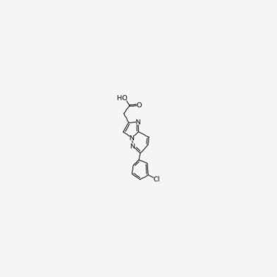 O=C(O)Cc1cn2nc(-c3cccc(Cl)c3)ccc2n1